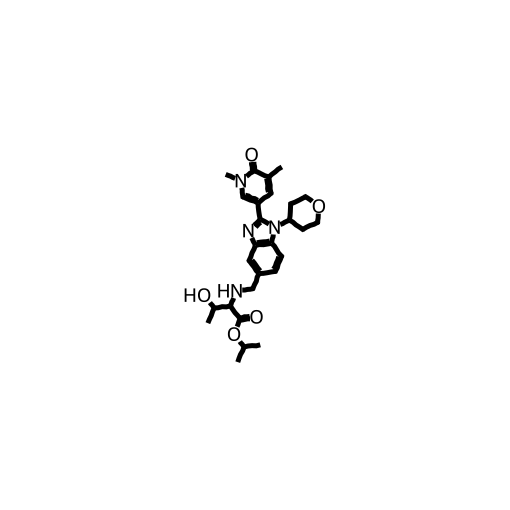 Cc1cc(-c2nc3cc(CNC(C(=O)OC(C)C)C(C)O)ccc3n2C2CCOCC2)cn(C)c1=O